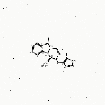 Cc1[nH]cnc1CC1C=CC2C(C)c3ccccc3N2C1=O.Cl